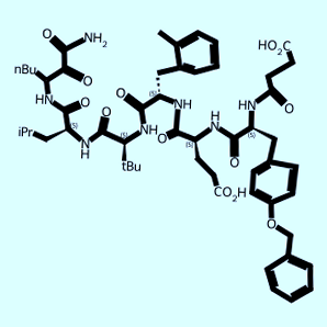 CCCCC(NC(=O)[C@H](CC(C)C)NC(=O)[C@@H](NC(=O)[C@H](Cc1ccccc1C)NC(=O)[C@H](CCC(=O)O)NC(=O)[C@H](Cc1ccc(OCc2ccccc2)cc1)NC(=O)CCC(=O)O)C(C)(C)C)C(=O)C(N)=O